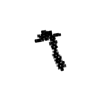 COc1cc(C(=O)NN2CCC(CCN3CCN(c4ccc(C5CCC(=O)NC5=O)cc4F)CC3)CC2)ccc1Nc1ncc(N(C)C)c(N(CC(F)(F)C=O)C(C)C)n1